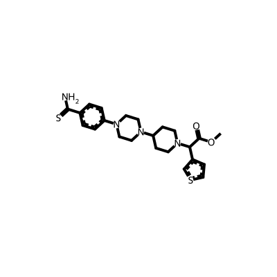 COC(=O)C(c1ccsc1)N1CCC(N2CCN(c3ccc(C(N)=S)cc3)CC2)CC1